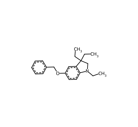 CCN1CC(CC)(CC)c2cc(OCc3ccccc3)ccc21